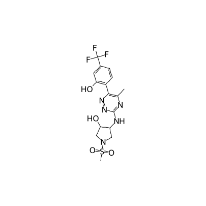 Cc1nc(NC2CN(S(C)(=O)=O)CC2O)nnc1-c1ccc(C(F)(F)F)cc1O